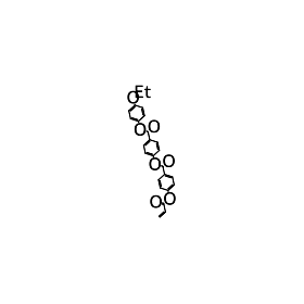 C=CC(=O)Oc1ccc(C(=O)Oc2ccc(C(=O)Oc3ccc(OCC)cc3)cc2)cc1